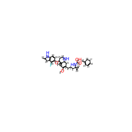 COC1=C(CCCC2(NC(O)OCC3=CC=CCC3)CC2)CC2NCCC(Oc3ccc4c(c3F)CC(C)N4)[C@@H]2C1